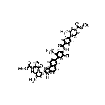 COC(=O)N[C@H](C(=O)N1C[C@@H](C)C[C@H]1c1nc2c(ccc3cc(-c4cc(Cl)c(NC(=O)c5ccc(N6CCN(C(=O)OC(C)(C)C)C[C@H]6C)nc5)cc4OC(F)(F)F)ccc32)[nH]1)C(C)C